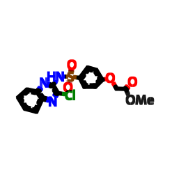 COC(=O)COc1ccc(S(=O)(=O)Nc2nc3ccccc3nc2Cl)cc1